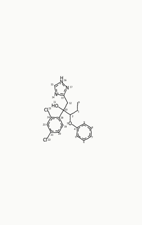 CCC(Oc1ccccc1)C(O)(Cc1nc[nH]n1)c1ccc(Cl)cc1Cl